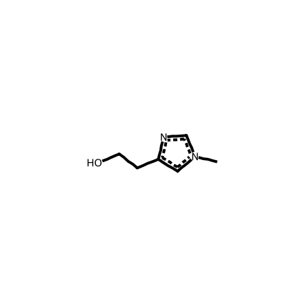 Cn1cnc(CCO)c1